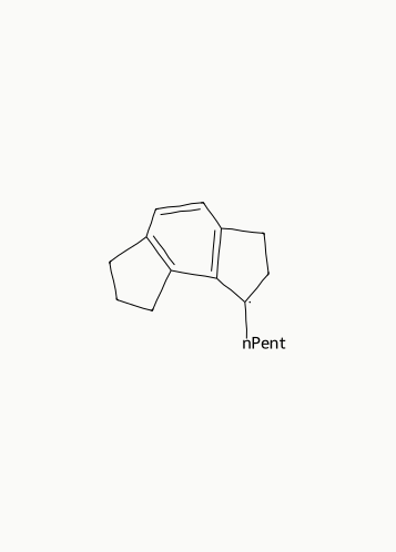 CCCCC[C]1CCc2ccc3c(c21)CCC3